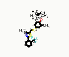 Cc1cc(SCc2sc(-c3ccccc3C(F)(F)F)nc2C)ccc1O[Si](C)(C)C(C)(C)C